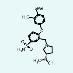 CSc1ccc(Oc2ccc(S(N)(=O)=O)cc2CN2CC[C@@H](N(C)C)C2)cc1C